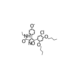 CCCCOc1cc(OCCCC)c(-c2onc(C(=O)NCC)c2-c2ccc(OC)cc2)cc1Cl